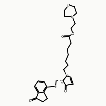 O=C(CCCCCC[C@H]1C=CC(=O)[C@@H]1CSc1cccc2c1CCC2=O)OCCN1CCOCC1